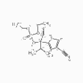 CCOP(=O)(OCC)OC(C#N)(c1cc(C#N)cs1)C(C)C